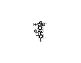 CC(=O)c1c(-c2ccc(F)cc2)oc2cc([N+](=O)[O-])c(O)cc12